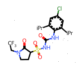 CC(C)c1cc(Cl)cc(C(C)C)c1NC(=O)NS(=O)(=O)C1CCN(CC(F)(F)F)C1=O